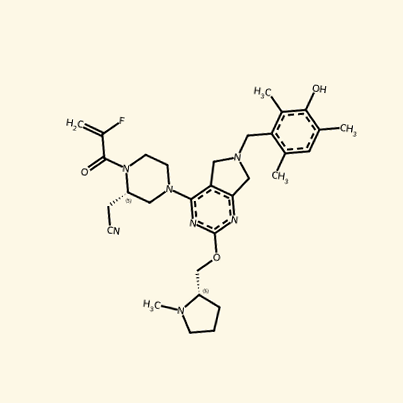 C=C(F)C(=O)N1CCN(c2nc(OC[C@@H]3CCCN3C)nc3c2CN(Cc2c(C)cc(C)c(O)c2C)C3)C[C@@H]1CC#N